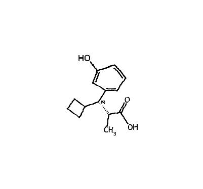 CC(C(=O)O)[C@@H](c1cccc(O)c1)C1CCC1